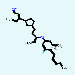 C=C\C=C/C=C(C)\C(F)=C/C(=C\C=C)N/C(=C/C)CCC1CCC(/C(C=C)=C/C=N)C1